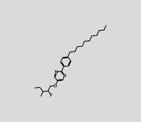 CCCCCCCCCCCc1ccc(-c2ncc(OCC(F)C(C)CC)cn2)cc1